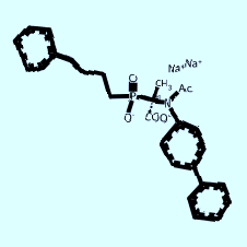 CC(=O)N(c1ccc(-c2ccccc2)cc1)[C@@](C)(C(=O)[O-])P(=O)([O-])CCCCc1ccccc1.[Na+].[Na+]